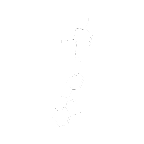 CC(=O)c1cccnc1S(=O)(=O)c1ccc(/C=C/c2ccc(F)cc2F)cc1